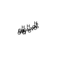 COc1cc(NC(=O)OCCCNC(=O)CCN2CCC(OC(=O)Nc3ccccc3-c3ccccc3)CC2)c(Cl)cc1C=O